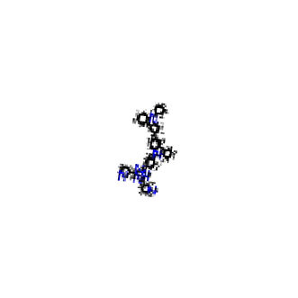 c1ccc(-n2c3ccccc3c3cc(-c4ccc5c(c4)c4ccccc4n5-c4ccc(-c5nc(-c6cccnc6)nc(-c6cccnc6)n5)cc4)ccc32)cc1